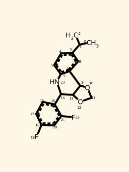 CC(C)c1ccc2c(c1)C1OCOC1C(c1ccc(F)cc1F)N2